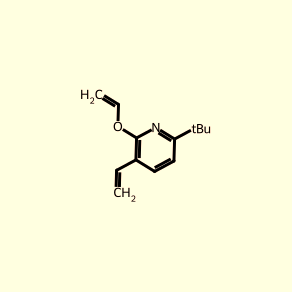 C=COc1nc(C(C)(C)C)ccc1C=C